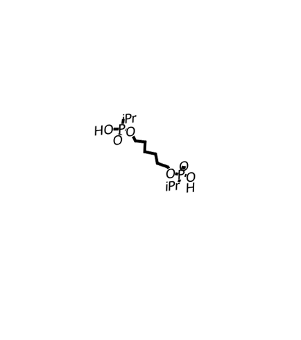 CC(C)P(=O)(O)OCCCCCCOP(=O)(O)C(C)C